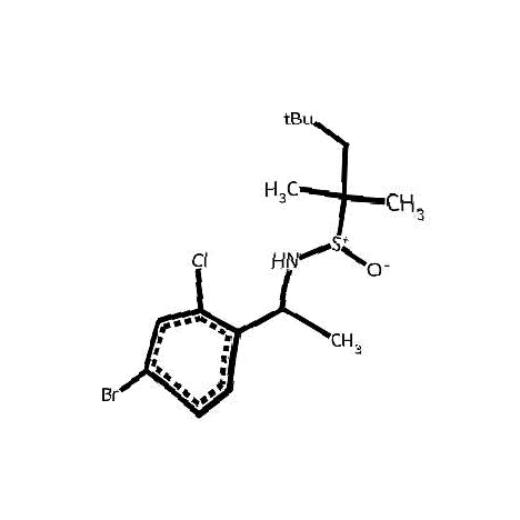 CC(N[S+]([O-])C(C)(C)CC(C)(C)C)c1ccc(Br)cc1Cl